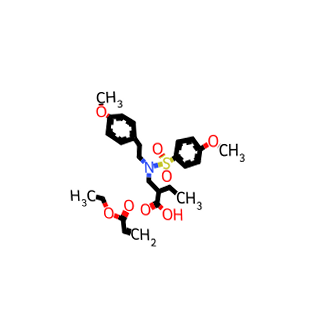 C=CC(=O)OCC.CCC(CN(CCc1ccc(OC)cc1)S(=O)(=O)c1ccc(OC)cc1)C(=O)O